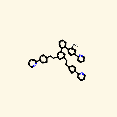 COc1cc(-c2ccccn2)ccc1-c1ccccc1-c1cc(CCc2ccc(-c3ccccn3)cc2)cc(CCc2ccc(-c3ccccn3)cc2)c1